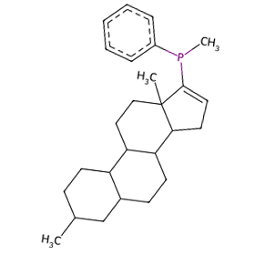 CC1CCC2C(CCC3C2CCC2(C)C(P(C)c4ccccc4)=CCC32)C1